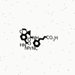 CCCNC(=O)c1ccc2c(c1)[C@]1(CCO2)C[C@H]1C(=O)Nc1cc(C#N)ccc1CCCC(=O)O